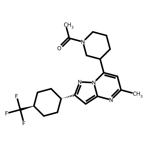 CC(=O)N1CCCC(c2cc(C)nc3cc([C@H]4CC[C@H](C(F)(F)F)CC4)nn23)C1